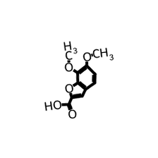 COc1ccc2cc(C(=O)O)oc2c1OC